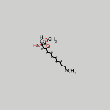 CCCCCCCCCCCCC(C)(O)C(=O)OC